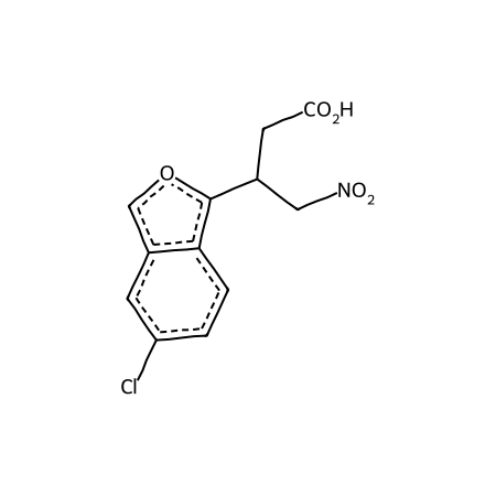 O=C(O)CC(C[N+](=O)[O-])c1occ2cc(Cl)ccc12